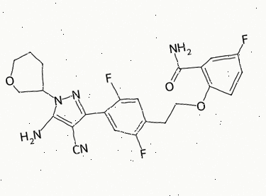 N#Cc1c(-c2cc(F)c(CCOc3ccc(F)cc3C(N)=O)cc2F)nn(C2CCCOC2)c1N